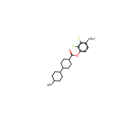 CCCCCCCCc1ccc(OC(=O)C2CCC(C3CCC(CCC)CC3)CC2)c(F)c1F